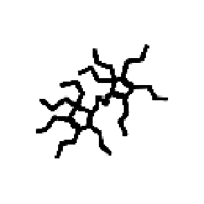 CCCC1=C(CCC)C(CCC)(CCC)[C]([Fe][C]2=C(CCC)C(CCC)=C(CCC)C2(CCC)CCC)=C1CCC